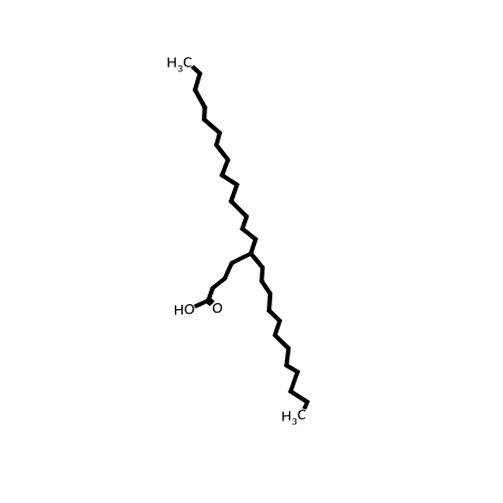 CCCCCCCCCCCCCCC(CCCCCCCCCCCC)CCCC(=O)O